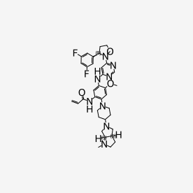 C=CC(=O)Nc1cc(Nc2cc(N3OCC[C@@H]3c3cc(F)cc(F)c3)ncn2)c(OC)cc1N1CCC(N2C[C@@H]3CCN(C)[C@@H]3C2)CC1